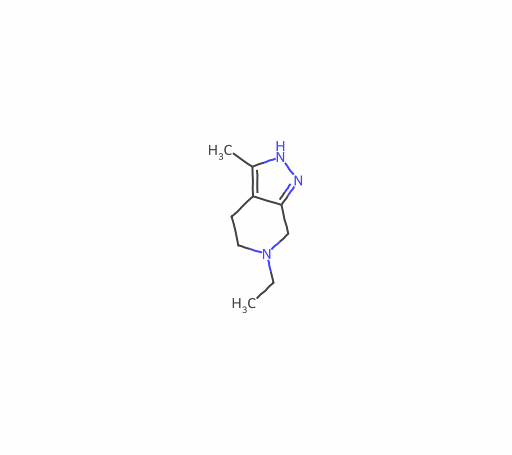 CCN1CCc2c(n[nH]c2C)C1